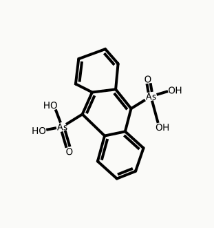 O=[As](O)(O)c1c2ccccc2c([As](=O)(O)O)c2ccccc12